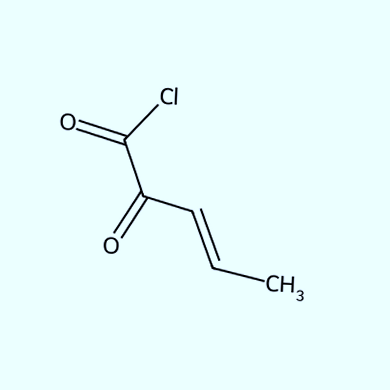 CC=CC(=O)C(=O)Cl